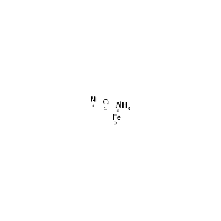 [AlH3].[Cr].[Fe].[Ni]